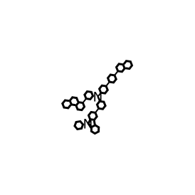 c1ccc(-n2c3ccccc3c3cc(-c4cccc(N(c5ccc(-c6ccc(-c7ccc8ccccc8c7)cc6)cc5)c5cccc(-c6cccc7c6ccc6ccccc67)c5)c4)ccc32)cc1